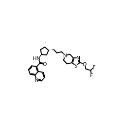 C[C@H]1C[C@H](NC(=O)c2cccc3ncccc23)C[C@H]1CCCN1CCc2sc(OCC(F)F)nc2C1